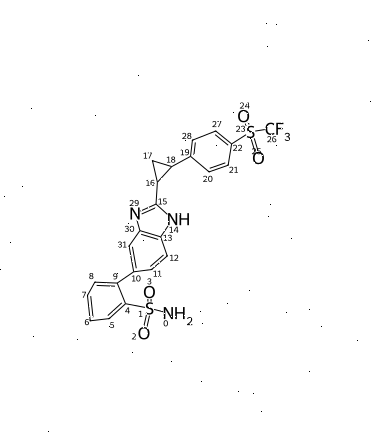 NS(=O)(=O)c1ccccc1-c1ccc2[nH]c(C3CC3c3ccc(S(=O)(=O)C(F)(F)F)cc3)nc2c1